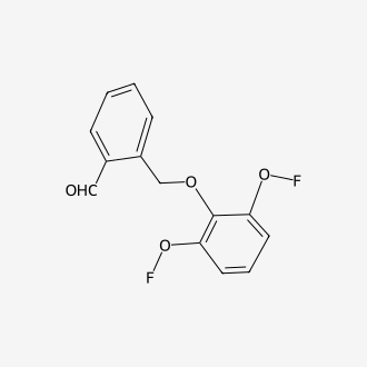 O=Cc1ccccc1COc1c(OF)cccc1OF